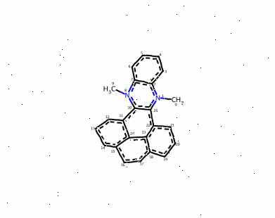 Cn1c2ccccc2n(C)c2c3cccc4ccc5cccc(c5c43)c21